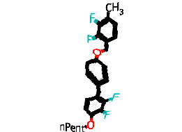 CCCCCOc1ccc(-c2ccc(OCc3ccc(C)c(F)c3F)cc2)c(F)c1F